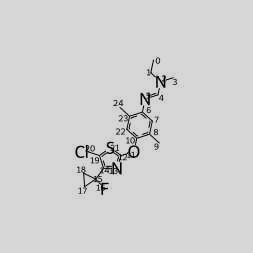 CCN(C)C=Nc1cc(C)c(Oc2nc(C3(F)CC3)c(Cl)s2)cc1C